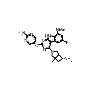 CNc1cc(F)cc2c1[nH]c1nc(Oc3cnc(N)nc3)nc(N3CC4[C@H](N)CC4(C)C3)c12